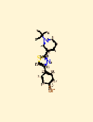 CC(C)(C)N1CCCC(c2nc(-c3ccc(Br)cc3)cs2)C1